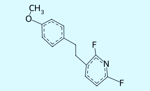 COc1ccc(CCc2ccc(F)nc2F)cc1